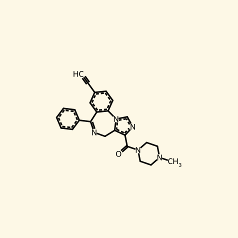 C#Cc1ccc2c(c1)C(c1ccccc1)=NCc1c(C(=O)N3CCN(C)CC3)ncn1-2